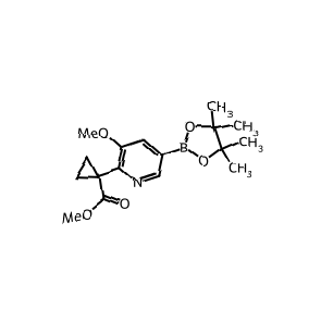 COC(=O)C1(c2ncc(B3OC(C)(C)C(C)(C)O3)cc2OC)CC1